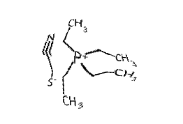 CC[P+](CC)(CC)CC.N#C[S-]